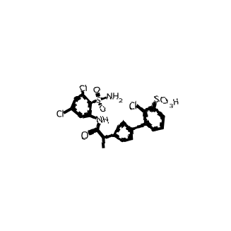 CC(C(=O)Nc1cc(Cl)cc(Cl)c1S(N)(=O)=O)c1ccc(-c2cccc(S(=O)(=O)O)c2Cl)cc1